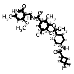 CSc1cc(C)[nH]c(=O)c1CNC(=O)c1cc(Cl)c2c(c1C)O[C@](C)([C@H]1CC[C@@H](NC(=O)C3CC(F)(F)C3)CC1)O2